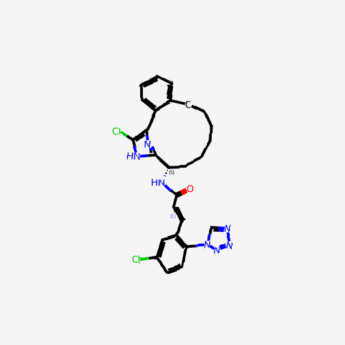 O=C(/C=C/c1cc(Cl)ccc1-n1cnnn1)N[C@H]1CCCCCCc2ccccc2-c2nc1[nH]c2Cl